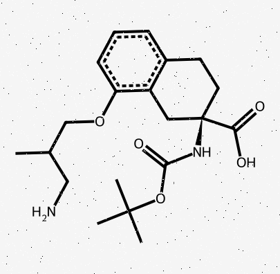 CC(CN)COc1cccc2c1C[C@@](NC(=O)OC(C)(C)C)(C(=O)O)CC2